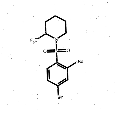 CC(C)c1ccc(S(=O)(=O)N2CCCCC2C(F)(F)F)c(C(C)(C)C)c1